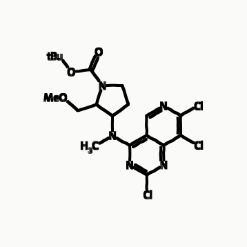 COCC1C(N(C)c2nc(Cl)nc3c(Cl)c(Cl)ncc23)CCN1C(=O)OC(C)(C)C